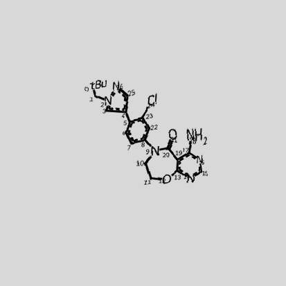 CC(C)(C)Cn1cc(-c2ccc(N3CCOc4ncnc(N)c4C3=O)cc2Cl)cn1